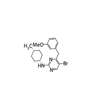 COc1cccc(Cc2nc(N[C@H]3CC[C@@H](C)CC3)ncc2Br)c1